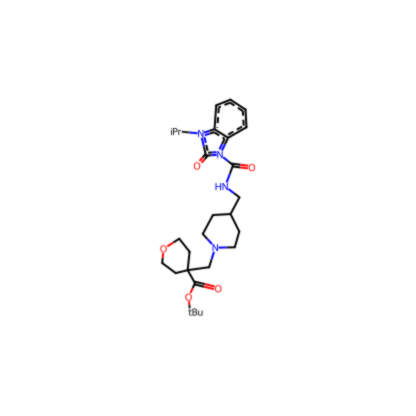 CC(C)n1c(=O)n(C(=O)NCC2CCN(CC3(C(=O)OC(C)(C)C)CCOCC3)CC2)c2ccccc21